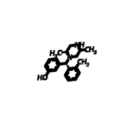 Cc1ccccc1[C@H](c1cccc(O)c1)N1CC(C)NC[C@@H]1C